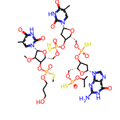 COC1C(OP(=O)(OCCCO)SC)[C@@H](COP(=O)(S)OC2C[C@H](n3cc(C)c(=O)[nH]c3=O)O[C@@H]2COP(=O)(S)OC2C[C@H](n3cnc4c(=O)[nH]c(N)nc43)O[C@@H]2COP(=O)(S)OC(C)C)O[C@H]1n1cc(C)c(=O)[nH]c1=O